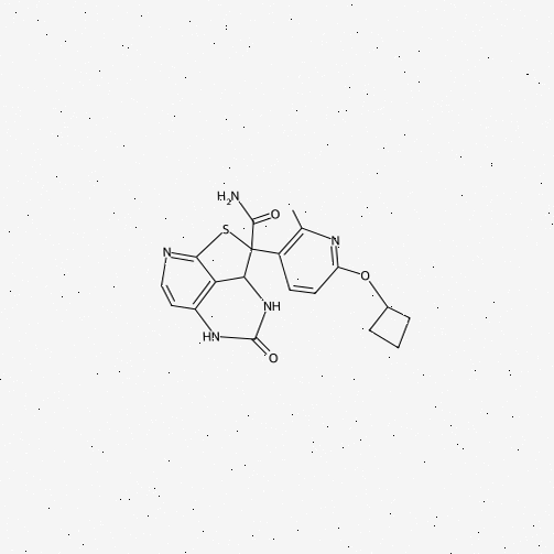 Cc1nc(OC2CCC2)ccc1C1(C(N)=O)Sc2nccc3c2C1NC(=O)N3